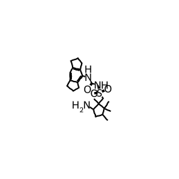 CC1CC(N)C(C)(CS(=O)(=O)NC(=O)Nc2c3c(cc4c2CCC4)CCC3)C1(C)C